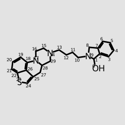 OC1c2ccccc2CN1CCCCN1CCN2c3cccc4scc(c34)CC2C1